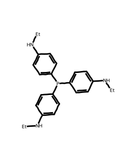 CCNc1ccc(P(c2ccc(NCC)cc2)c2ccc(NCC)cc2)cc1